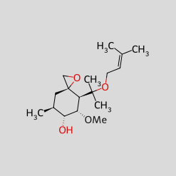 CO[C@@H]1[C@H](O)[C@@H](C)C[C@]2(CO2)[C@H]1C(C)(C)OCC=C(C)C